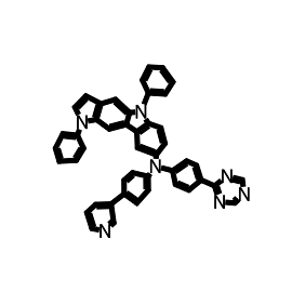 c1ccc(-n2ccc3cc4c(cc32)c2cc(N(c3ccc(-c5cccnc5)cc3)c3ccc(-c5ncncn5)cc3)ccc2n4-c2ccccc2)cc1